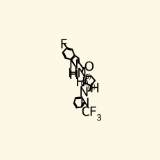 O=C(N[C@H]1CC[C@@H]2CN(c3cccc(C(F)(F)F)n3)C[C@@H]21)c1cc2cc(F)ccc2[nH]1